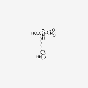 CS(=O)(=O)N1CCC(C(=O)NC(CCCCCCCc2ccc3c(n2)NCCC3)C(=O)O)CC1